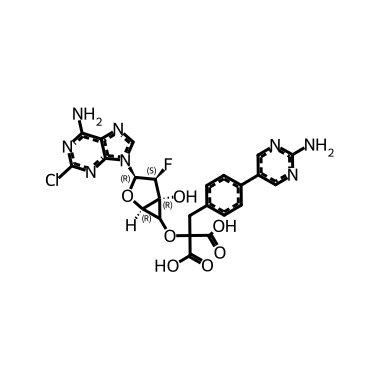 Nc1ncc(-c2ccc(CC(OC3[C@H]4O[C@@H](n5cnc6c(N)nc(Cl)nc65)[C@@H](F)[C@@]34O)(C(=O)O)C(=O)O)cc2)cn1